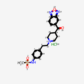 CS(=O)(=O)Nc1ccc(CCN2CCC(C(=O)c3ccc4nonc4c3)CC2)cc1.Cl